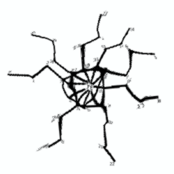 CCC[C]12[CH]3[CH]4[C]5(CCC)[C]1(CCC)[Fe]34251678[C]2(CCC)[C]1(CCC)[C]6(CCC)[C]7(CCC)[C]28CCC